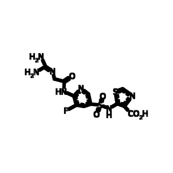 NC(N)=NCC(=O)Nc1ncc(S(=O)(=O)Nc2scnc2C(=O)O)cc1F